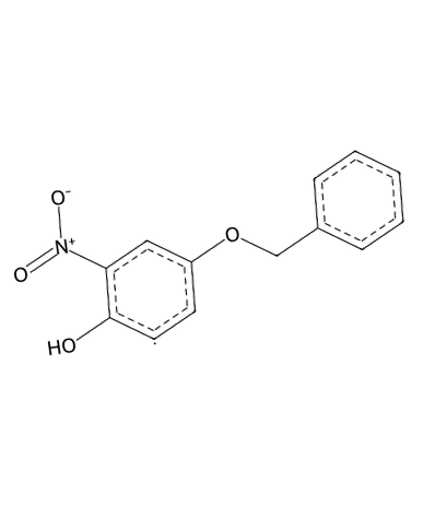 O=[N+]([O-])c1cc(OCc2ccccc2)c[c]c1O